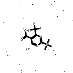 C[N+](C)(C)c1ncc(C(=O)O)c(C(F)(F)F)n1.[Cl-]